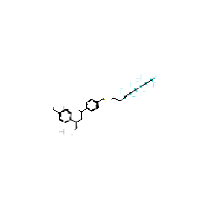 CCC(CC(C)c1ccc(CSCCC(F)(F)C(F)(F)C(F)(F)C(F)(F)C(F)(F)C(F)(F)F)cc1)c1ccc(CCl)cc1